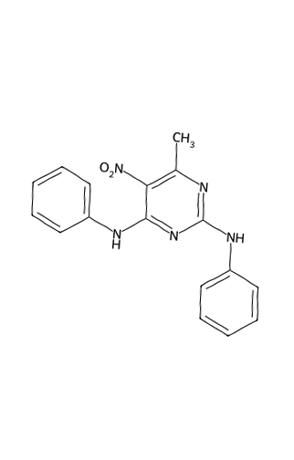 Cc1nc(Nc2ccccc2)nc(Nc2ccccc2)c1[N+](=O)[O-]